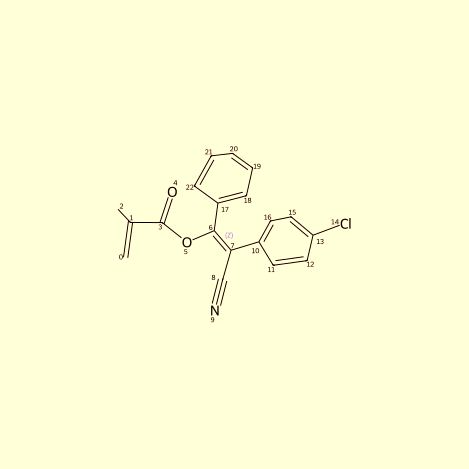 C=C(C)C(=O)O/C(=C(\C#N)c1ccc(Cl)cc1)c1ccccc1